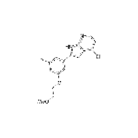 COCCOc1cc(F)cc(-c2cc3c(Cl)ccnc3[nH]2)c1